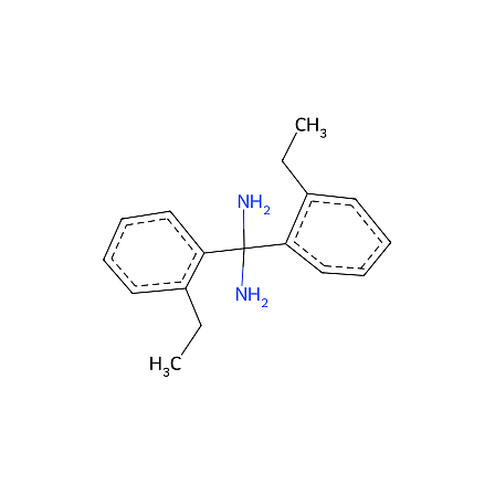 CCc1ccccc1C(N)(N)c1ccccc1CC